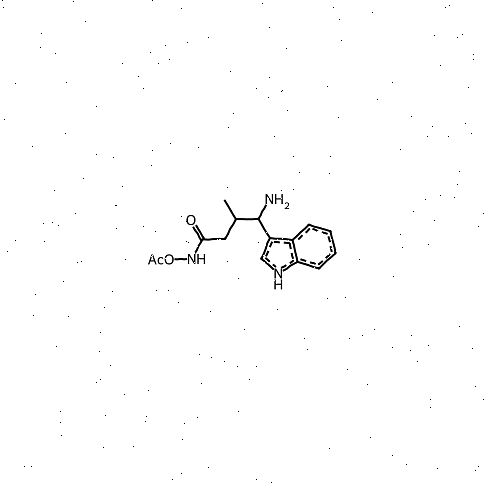 CC(=O)ONC(=O)CC(C)C(N)c1c[nH]c2ccccc12